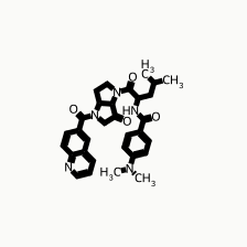 CC(C)CC(NC(=O)c1ccc(N(C)C)cc1)C(=O)N1CCC2C1C(=O)CN2C(=O)c1ccc2ncccc2c1